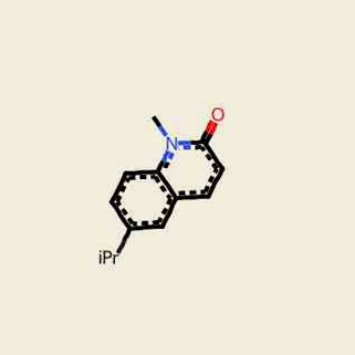 CC(C)c1ccc2c(ccc(=O)n2C)c1